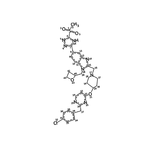 CS(=O)(=O)c1nnc(-c2ccc3c(c2)nc(CN2CCC(Oc4ccnc(Cc5ccc(Cl)cc5)n4)CC2)n3CC2CCO2)[nH]1